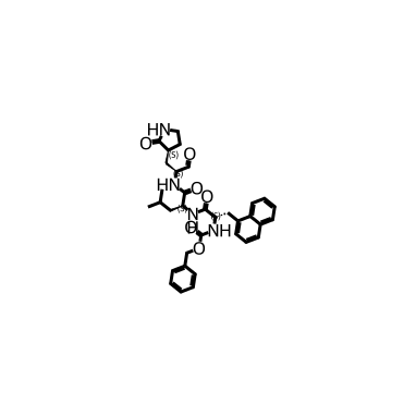 CC(C)C[C@H](NC(=O)[C@H](Cc1cccc2ccccc12)NC(=O)OCc1ccccc1)C(=O)N[C@H](C=O)C[C@@H]1CCNC1=O